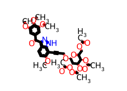 COc1cc(C(=O)c2n[nH]c3c(C#CCO[C@@H]4OC(COC(C)=O)[C@@H](OC(C)=O)C(OC(C)=O)[C@@H]4OC(C)=O)c(OC)ccc23)cc(OC)c1OC